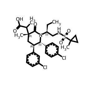 CC[C@@H](CNS(=O)(=O)C1(C)CC1)N1C(=O)[C@@](C)(C(C)C(=O)O)C[C@H](c2cccc(Cl)c2)[C@H]1c1ccc(Cl)cc1